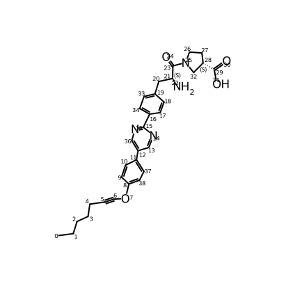 CCCCCC#COc1ccc(-c2cnc(-c3ccc(C[C@H](N)C(=O)N4CC[C@H](C(=O)O)C4)cc3)nc2)cc1